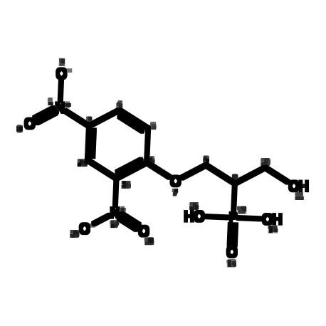 O=[N+]([O-])c1ccc(OCC(CO)P(=O)(O)O)c([N+](=O)[O-])c1